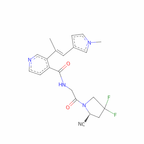 C/C(=C\c1ccn(C)c1)c1cnccc1C(=O)NCC(=O)N1CC(F)(F)C[C@H]1C#N